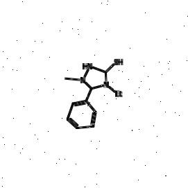 CCN1C(S)NN(C)C1c1ccccc1